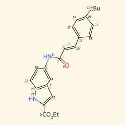 CCOC(=O)c1cc2cc(NC(=O)/C=C/c3ccc(C(C)(C)C)cc3)ccc2[nH]1